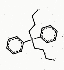 CCCC[B-](CCCC)(c1ccccc1)c1ccccc1